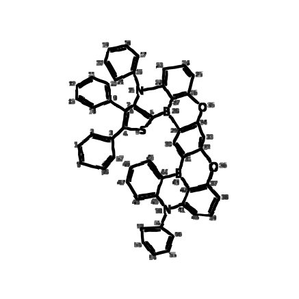 c1ccc(-c2sc3c(c2-c2ccccc2)N(c2ccccc2)c2cccc4c2B3c2cc3c(cc2O4)Oc2cccc4c2B3c2ccccc2N4c2ccccc2)cc1